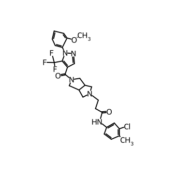 COc1ccccc1-n1ncc(C(=O)N2CC3CN(CCC(=O)Nc4ccc(C)c(Cl)c4)CC3C2)c1C(F)(F)F